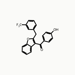 O=C(c1ccc(O)cc1)c1c(Cc2cccc(C(F)(F)F)c2)oc2ccccc12